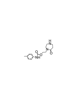 Cc1ccc(NC(=O)OCCN2CCNCCC2=O)cc1